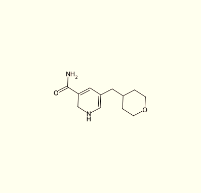 NC(=O)C1=CC(CC2CCOCC2)=CNC1